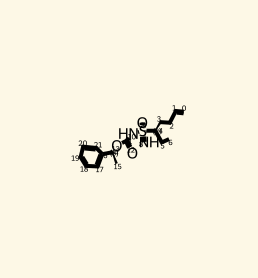 C=CCC[C@@H](CC)S(=N)(=O)NC(=O)O[C@@H](C)c1ccccc1